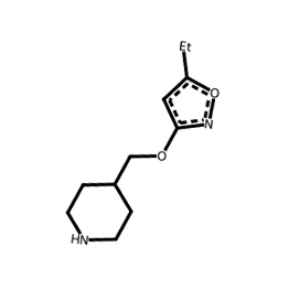 CCc1cc(OCC2CCNCC2)no1